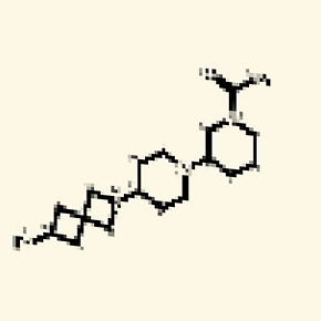 CC(C)C(=O)N1CCCC(N2CCC(N3CC4(CC(C(C)C)C4)C3)CC2)C1